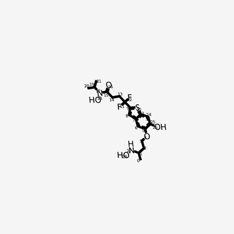 CC(CCOc1cc2cc(C(F)(F)CCC(=O)N(O)C(C)C)sc2cc1O)NO